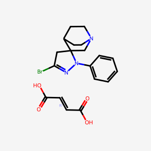 BrC1=NN(c2ccccc2)C2(C1)CN1CCC2CC1.O=C(O)/C=C/C(=O)O